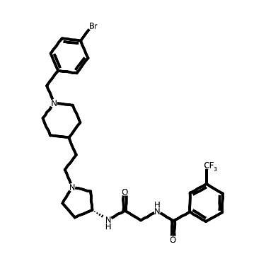 O=C(CNC(=O)c1cccc(C(F)(F)F)c1)N[C@@H]1CCN(CCC2CCN(Cc3ccc(Br)cc3)CC2)C1